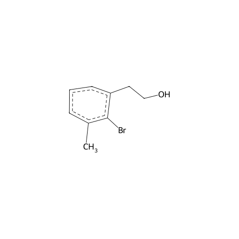 Cc1cccc(CCO)c1Br